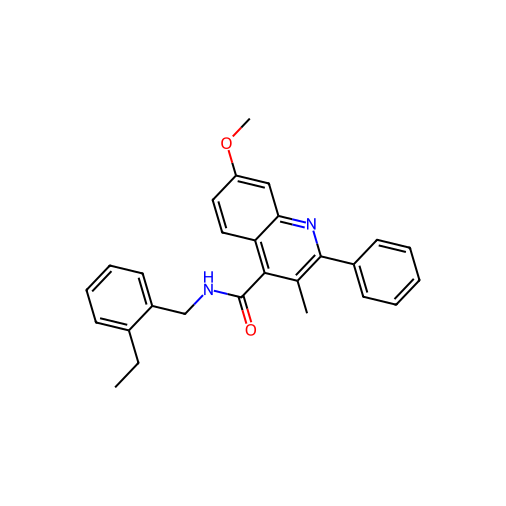 CCc1ccccc1CNC(=O)c1c(C)c(-c2ccccc2)nc2cc(OC)ccc12